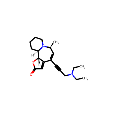 CCN(CC)CC#CC1=C[C@H](C)N2CCCC[C@@H]2[C@@]2(C)OC(=O)C=C12